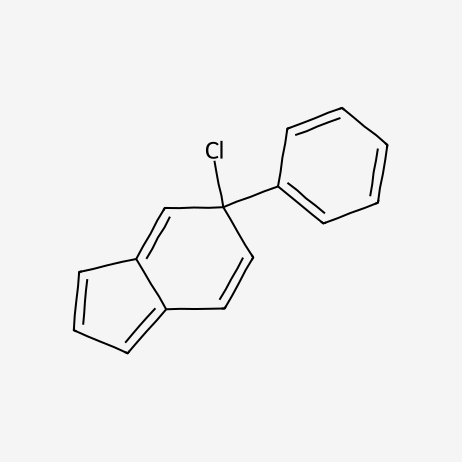 ClC1(c2ccccc2)C=CC2=CC=CC2=C1